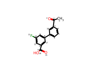 CC(=O)c1cccc(-c2cc(F)cc(C(=O)O)c2)c1